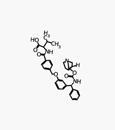 CC(C)C(NC(=O)c1ccc(COc2cccc([C@@H](NC(=O)O[C@H]3CN4CCC3CC4)c3ccccc3)c2)cc1)C(=O)O